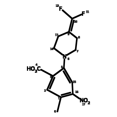 Cc1cc(C(=O)O)c(N2CCC(=C(F)F)CC2)cc1[N+](=O)[O-]